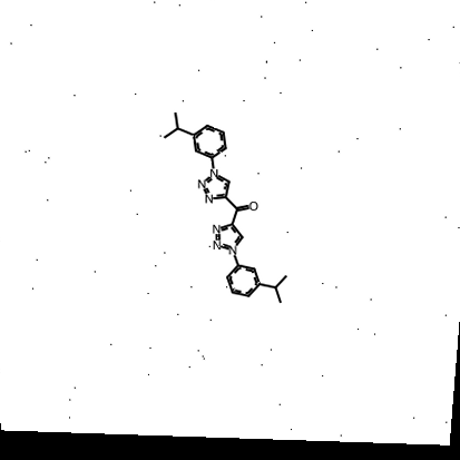 CC(C)c1cccc(-n2cc(C(=O)c3cn(-c4cccc(C(C)C)c4)nn3)nn2)c1